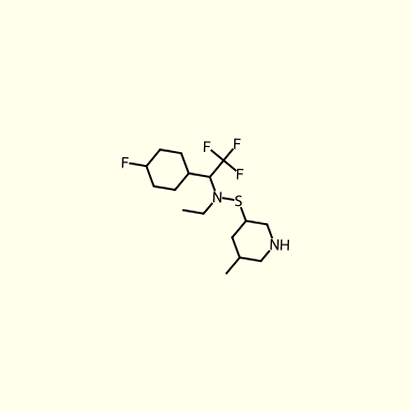 CCN(SC1CNCC(C)C1)C(C1CCC(F)CC1)C(F)(F)F